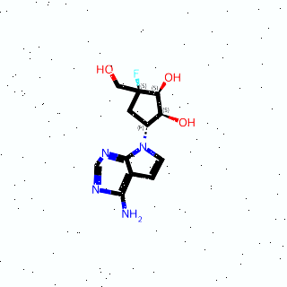 Nc1ncnc2c1ccn2[C@@H]1C[C@](F)(CO)[C@@H](O)[C@H]1O